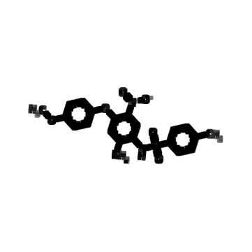 COc1ccc(Oc2cc(N)c(NS(=O)(=O)c3ccc(C)cc3)cc2[N+](=O)[O-])cc1